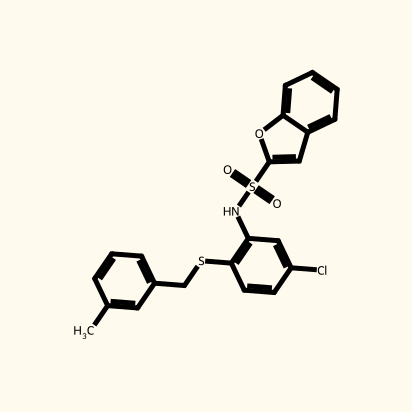 Cc1cccc(CSc2ccc(Cl)cc2NS(=O)(=O)c2cc3ccccc3o2)c1